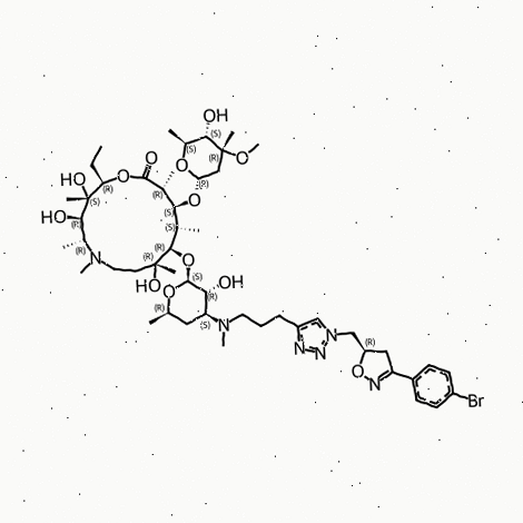 CC[C@H]1OC(=O)[C@H](C)[C@@H](O[C@H]2C[C@@](C)(OC)[C@@H](O)[C@H](C)O2)[C@H](C)[C@@H](O[C@@H]2O[C@H](C)C[C@H](N(C)CCCc3cn(C[C@H]4CC(c5ccc(Br)cc5)=NO4)nn3)[C@H]2O)[C@](C)(O)CCN(C)[C@H](C)[C@@H](O)[C@]1(C)O